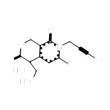 CC[C@@]1(O)C(=O)OCc2c1cc(I)n(CC#CS)c2=O